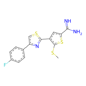 CSc1sc(C(=N)N)cc1-c1nc(-c2ccc(F)cc2)cs1